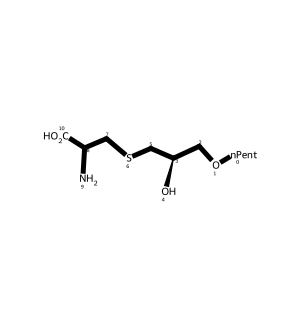 CCCCCOC[C@@H](O)CSCC(N)C(=O)O